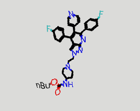 CCCCOC(=O)NC1CCN(CCn2cc3c(-c4ccc(F)cc4)c(-c4ccncc4)c(-c4ccc(F)cc4)nc3n2)CC1